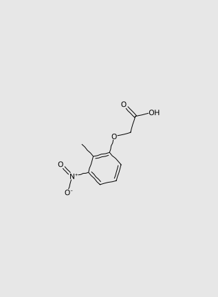 Cc1c(OCC(=O)O)cccc1[N+](=O)[O-]